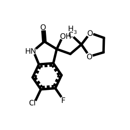 CC1(CC2(O)C(=O)Nc3cc(Cl)c(F)cc32)OCCO1